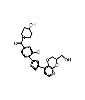 O=C(c1ccc(-c2cc(-c3ccnc4c3OCC(CO)O4)cs2)c(Cl)c1)N1CCC(O)CC1